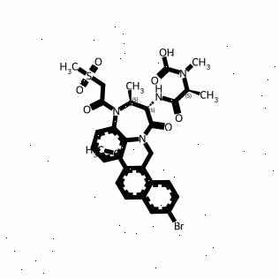 COc1ccc2cc(Br)ccc2c1CN1C(=O)[C@@H](NC(=O)[C@H](C)N(C)C(=O)O)[C@H](C)N(C(=O)CS(C)(=O)=O)c2ccccc21